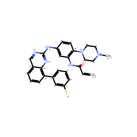 C=CC(=O)Nc1cc(Nc2ncc3cccc(-c4cccc(F)c4)c3n2)ccc1N1CCN(C)CC1